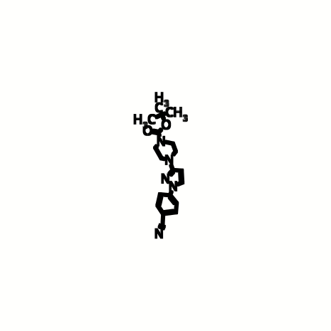 CC(C)(C)OC(=O)N1CCN(c2ccn(-c3ccc(C#N)cc3)n2)CC1